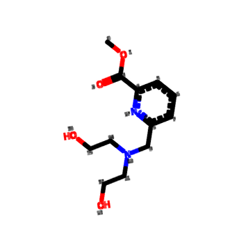 COC(=O)c1cccc(CN(CCO)CCO)n1